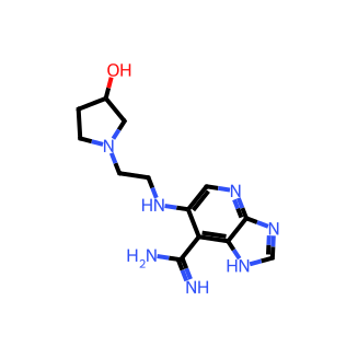 N=C(N)c1c(NCCN2CCC(O)C2)cnc2nc[nH]c12